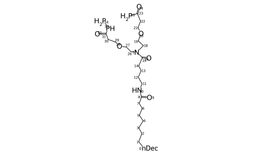 CCCCCCCCCCCCCCCCCC(=O)NCCCCC(=O)N(CCOCCC(=O)P)CCOCCC(=O)PP